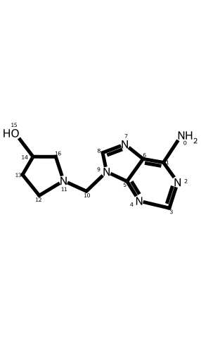 Nc1ncnc2c1ncn2CN1CCC(O)C1